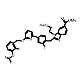 COCCn1c(Cc2ccc(-c3cccc(OCc4cccc(OC(F)F)c4F)n3)cc2F)nc2ccc(C(=O)OC)cc21